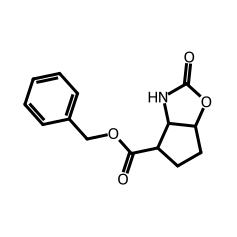 O=C1NC2C(CCC2C(=O)OCc2ccccc2)O1